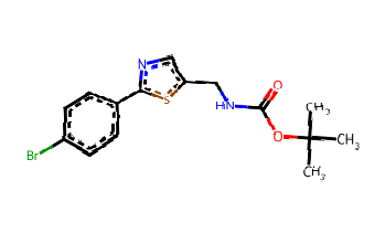 CC(C)(C)OC(=O)NCc1cnc(-c2ccc(Br)cc2)s1